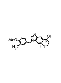 COc1ccc(Cn2cnc3cc4c(cc32)NCC[C@@H]4O)cc1C